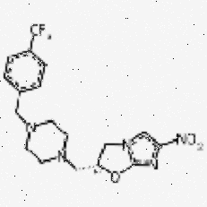 O=[N+]([O-])c1cn2c(n1)O[C@H](CN1CCN(Cc3ccc(C(F)(F)F)cc3)CC1)C2